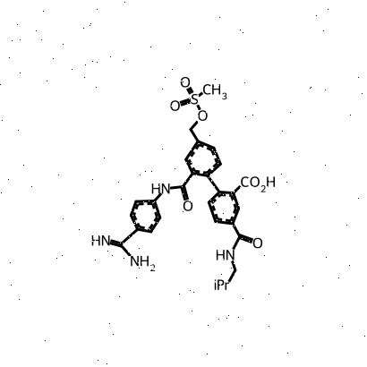 CC(C)CNC(=O)c1ccc(-c2ccc(COS(C)(=O)=O)cc2C(=O)Nc2ccc(C(=N)N)cc2)c(C(=O)O)c1